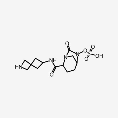 O=C(NC1CC2(CNC2)C1)C1CCC2CN1C(=O)N2OS(=O)(=O)O